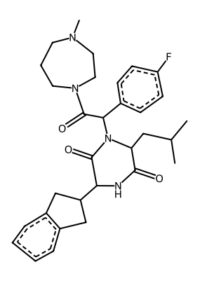 CC(C)CC1C(=O)NC(C2Cc3ccccc3C2)C(=O)N1C(C(=O)N1CCCN(C)CC1)c1ccc(F)cc1